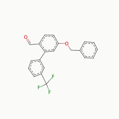 O=Cc1ccc(OCc2ccccc2)cc1-c1cccc(C(F)(F)F)c1